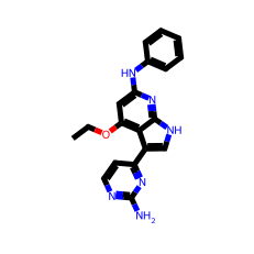 CCOc1cc(Nc2ccccc2)nc2[nH]cc(-c3ccnc(N)n3)c12